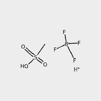 CS(=O)(=O)O.F[B-](F)(F)F.[H+]